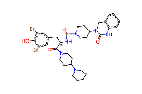 O=C(N[C@H](Cc1cc(Br)c(O)c(Br)c1)C(=O)N1CCC(N2CCCCC2)CC1)N1CCC(N2Cc3ccccc3NC2=O)CC1